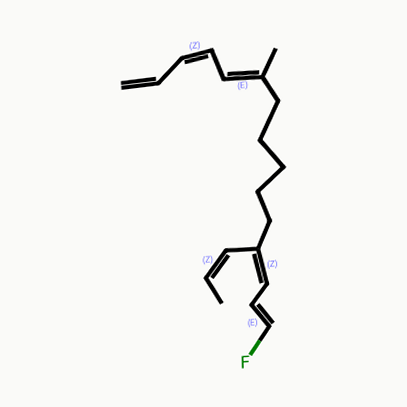 C=C/C=C\C=C(/C)CCCCCC(/C=C\C)=C/C=C/F